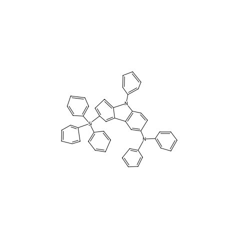 c1ccc(N(c2ccccc2)c2ccc3c(c2)c2cc([Si](c4ccccc4)(c4ccccc4)c4ccccc4)ccc2n3-c2ccccc2)cc1